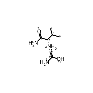 CC(C)[C@H](N)C(N)=O.NC(=O)O